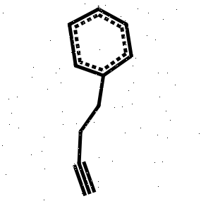 C#CCCc1cc[c]cc1